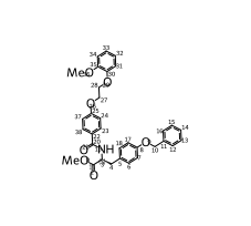 COC(=O)[C@H](Cc1ccc(OCc2ccccc2)cc1)NC(=O)c1ccc(OCCOc2ccccc2OC)cc1